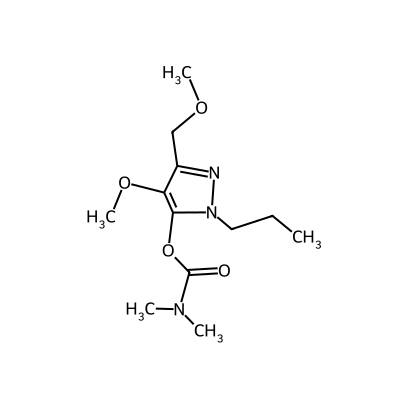 CCCn1nc(COC)c(OC)c1OC(=O)N(C)C